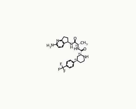 C[C@H](NC(=O)[C@H]1C[C@H](c2ccc(C(F)(F)F)cc2)CCN1)C(=O)NC1CCc2nc(N)ccc21